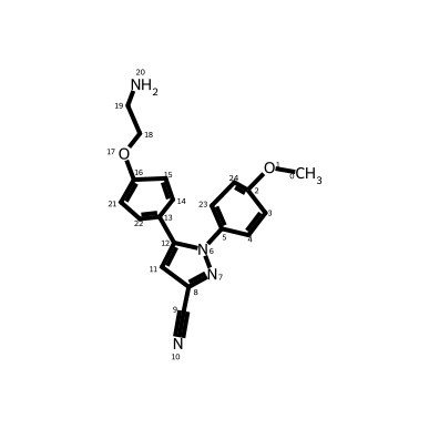 COc1ccc(-n2nc(C#N)cc2-c2ccc(OCCN)cc2)cc1